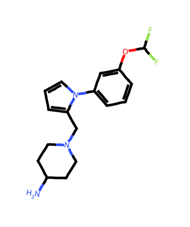 NC1CCN(Cc2cccn2-c2cccc(OC(F)F)c2)CC1